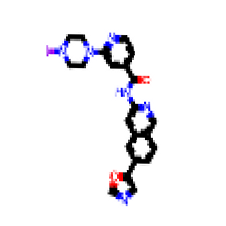 O=C(Nc1cc2cc(-c3cnco3)ccc2cn1)c1ccnc(N2CCN(I)CC2)c1